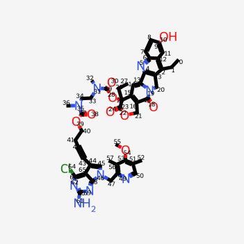 CCc1c2c(nc3ccc(O)cc13)-c1cc3c(c(=O)n1C2)COC(=O)C3(CC)OC(=O)N(C)CCN(C)C(=O)OCCC#Cc1cn(Cc2ncc(C)c(OC)c2C)c2nc(N)nc(Cl)c12